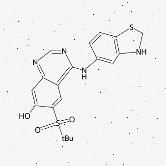 CC(C)(C)S(=O)(=O)c1cc2c(Nc3ccc4c(c3)NCS4)ncnc2cc1O